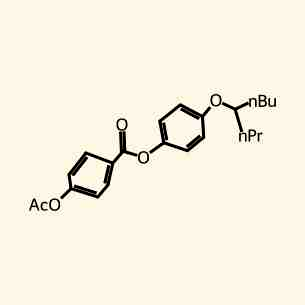 CCCCC(CCC)Oc1ccc(OC(=O)c2ccc(OC(C)=O)cc2)cc1